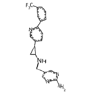 Nc1ncc(CNC2CC2c2ccc(-c3cccc(C(F)(F)F)c3)nc2)cn1